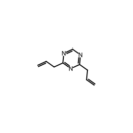 C=CCc1n[c]nc(CC=C)n1